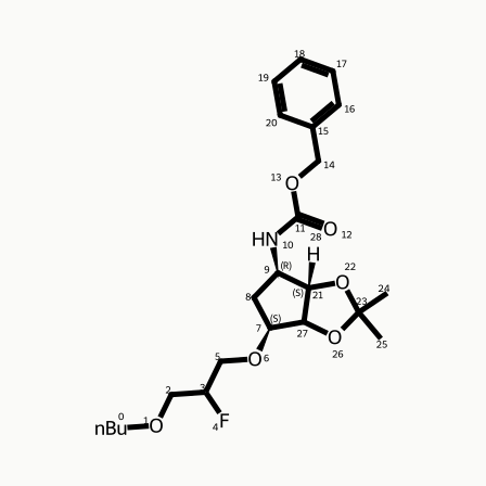 CCCCOCC(F)CO[C@H]1C[C@@H](NC(=O)OCc2ccccc2)[C@@H]2OC(C)(C)OC12